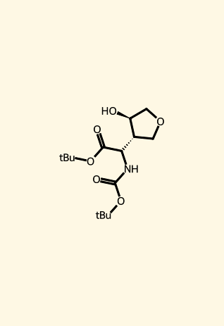 CC(C)(C)OC(=O)NC(C(=O)OC(C)(C)C)[C@H]1COC[C@@H]1O